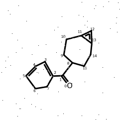 O=C(C1=CC=CCC1)C1CCC2=C=C2CC1